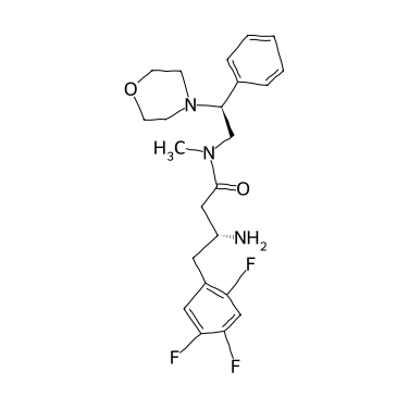 CN(C[C@H](c1ccccc1)N1CCOCC1)C(=O)C[C@H](N)Cc1cc(F)c(F)cc1F